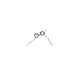 C=Cc1cc2oc3ccc(CCCCCCCC)cc3c2cc1CCCCCCCC